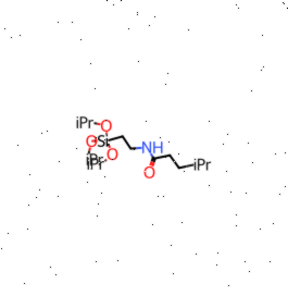 CC(C)CCC(=O)NCC[Si](OC(C)C)(OC(C)C)OC(C)C